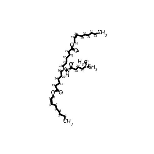 CCCCCC/C=C\COC(=O)CCCCCN(CCCCCC(=O)OC/C=C\CCCCCC)NC(=O)CCCN(C)C